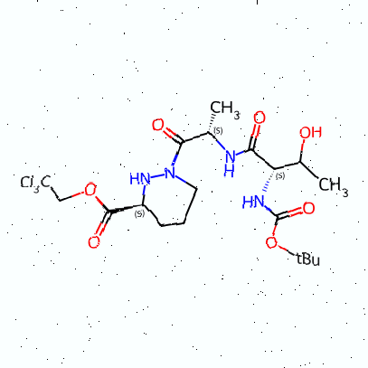 CC(O)[C@H](NC(=O)OC(C)(C)C)C(=O)N[C@@H](C)C(=O)N1CCC[C@@H](C(=O)OCC(Cl)(Cl)Cl)N1